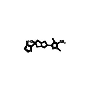 Cc1c(C2CC3CC(O)(c4nccn4C)CC3C2)nn(C)c1N